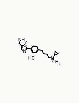 CN(CCCCc1ccc(-c2ncc(CN)s2)cc1)C1CC1.Cl